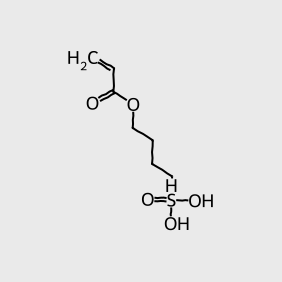 C=CC(=O)OCCCC[SH](=O)(O)O